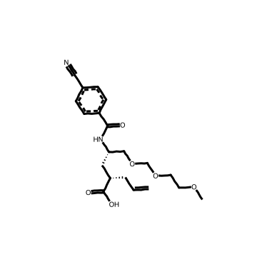 C=CC[C@@H](C[C@@H](COCOCCOC)NC(=O)c1ccc(C#N)cc1)C(=O)O